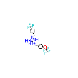 N=C(N/N=C/c1ccc(OC(F)(F)C(F)F)cc1)N/N=C/c1ccc(C(F)(F)F)cc1